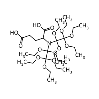 CCOC(OCC)(OCC)C(OCC)(OCC)N(C(CCC(=O)O)C(=O)O)C(OCC)(OCC)C(OCC)(OCC)OCC